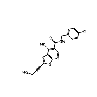 O=C(NCc1ccc(Cl)cc1)c1cnc2sc(C#CCO)cc2c1S